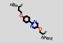 CCCCC[C@@H](F)COc1cnc(-c2ccc(OCC[C@@H](F)CCCC)cc2)nc1